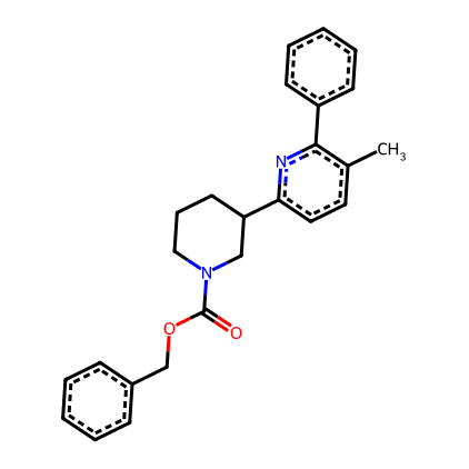 Cc1ccc(C2CCCN(C(=O)OCc3ccccc3)C2)nc1-c1ccccc1